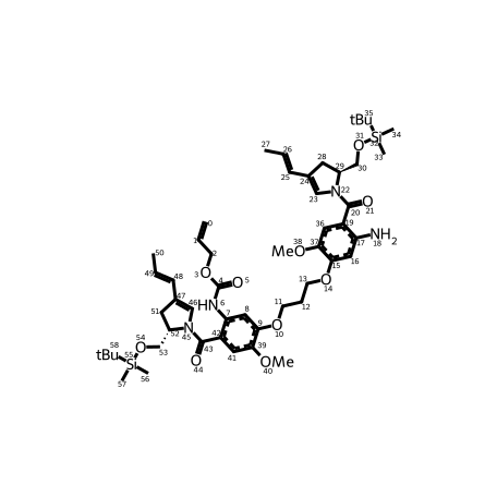 C=CCOC(=O)Nc1cc(OCCCOc2cc(N)c(C(=O)N3C=C(/C=C/C)C[C@H]3CO[Si](C)(C)C(C)(C)C)cc2OC)c(OC)cc1C(=O)N1C=C(/C=C/C)C[C@H]1CO[Si](C)(C)C(C)(C)C